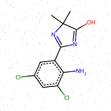 CC1(C)N=C(c2cc(Cl)cc(Cl)c2N)N=C1O